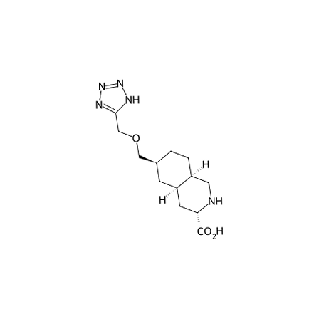 O=C(O)[C@@H]1C[C@H]2C[C@@H](COCc3nnn[nH]3)CC[C@H]2CN1